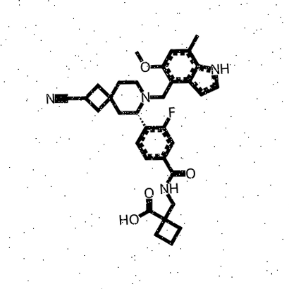 COc1cc(C)c2[nH]ccc2c1CN1CCC2(CC(C#N)C2)C[C@H]1c1ccc(C(=O)NCC2(C(=O)O)CCC2)cc1F